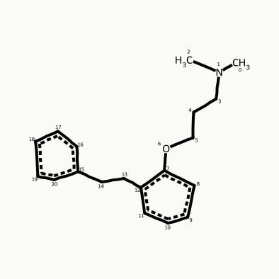 CN(C)CCCOc1ccccc1CCc1ccccc1